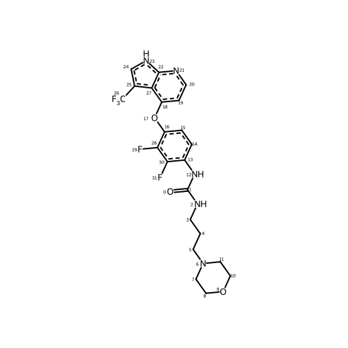 O=C(NCCCN1CCOCC1)Nc1ccc(Oc2ccnc3[nH]cc(C(F)(F)F)c23)c(F)c1F